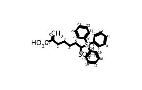 C=C(CCCCC([Si](c1ccccc1)(c1ccccc1)c1ccccc1)S(=O)(=O)O)C(=O)O